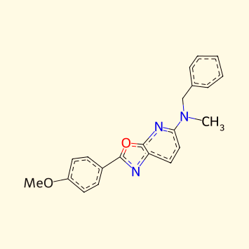 COc1ccc(-c2nc3ccc(N(C)Cc4ccccc4)nc3o2)cc1